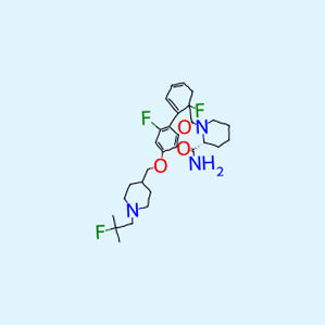 CC(C)(F)CN1CCC(COc2ccc(C3=CC=CCC3(F)C(=O)N3CCCC[C@@H]3C(N)=O)c(F)c2)CC1